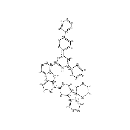 c1ccc(-c2ccc(-c3cc(-c4cccc5c4oc4c(-c6ccc7c(c6)-c6ccccc6C76CCCCC6)cccc45)nc(-c4ccccc4)n3)cc2)cc1